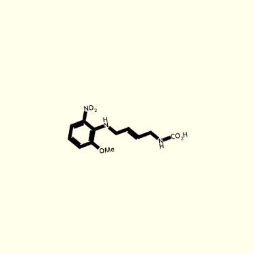 COc1cccc([N+](=O)[O-])c1NCC=CCNC(=O)O